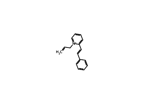 C=CC[n+]1ccccc1C=Cc1ccccc1